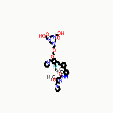 COc1cc(C(=O)Nc2cccc(-c3cccc(/C=C/c4cc(OCCOCCN5CCN(CC(=O)O)CCN(CC(=O)O)CC5)c(CN5CCCCC5)cc4C(F)(F)F)c3C)c2C)ncc1CN1CCCCC1